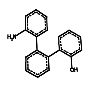 Nc1ccccc1-c1ccccc1-c1ccccc1O